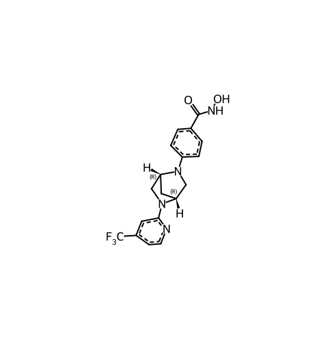 O=C(NO)c1ccc(N2C[C@H]3C[C@@H]2CN3c2cc(C(F)(F)F)ccn2)cc1